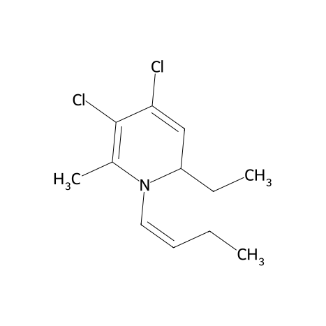 CC/C=C\N1C(C)=C(Cl)C(Cl)=CC1CC